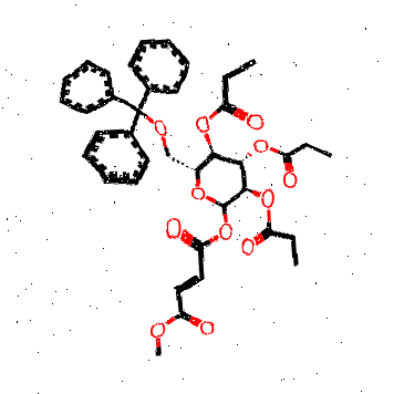 CCC(=O)O[C@H]1[C@H](OC(=O)CC)[C@@H](OC(=O)CC)C(OC(=O)/C=C/C(=O)OC)O[C@@H]1COC(c1ccccc1)(c1ccccc1)c1ccccc1